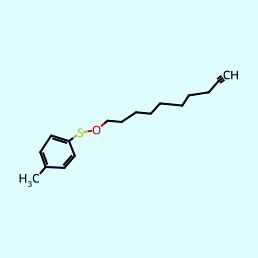 C#CCCCCCCCCOSc1ccc(C)cc1